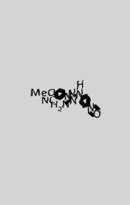 COc1ccc(-n2nc(Nc3ccc(N4CCOCC4)cc3)nc2N)cc1C#N